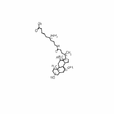 C[C@H](CCC(=O)NCCC[C@@H](N)CCCCC(=O)O)[C@H]1CCC2C3C(C[C@H](O)[C@@]21C)[C@@]1(C)CC[C@@H](O)CC1C[C@H]3O